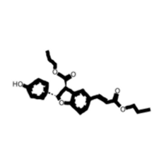 CCCOC(=O)/C=C/c1ccc2c(c1)[C@H](C(=O)OCCC)[C@@H](c1ccc(O)cc1)O2